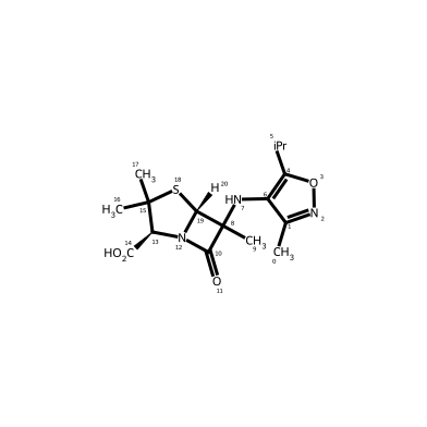 Cc1noc(C(C)C)c1NC1(C)C(=O)N2[C@@H](C(=O)O)C(C)(C)S[C@@H]21